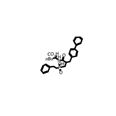 CCCCC(NC(=O)C(Cc1ccc(-c2ccccc2)cc1)CP(=O)(O)CCc1ccccc1)C(=O)O